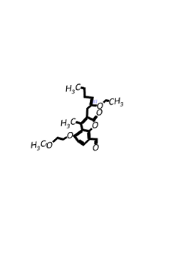 CCC/C=C(\Cc1c(C)c2c(OCCOC)ccc(C=O)c2oc1=O)OCC